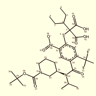 CCC(CC)C(Sc1cc(C(F)(F)F)c(C(=O)N(C(C)C)[C@@H]2CCCN(C(=O)OC(C)(C)C)C2)cc1[N+](=O)[O-])(C(=O)O)C(=O)O